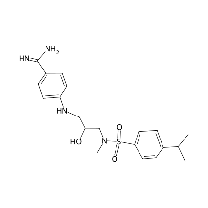 CC(C)c1ccc(S(=O)(=O)N(C)CC(O)CNc2ccc(C(=N)N)cc2)cc1